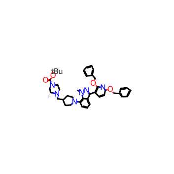 C[C@@H]1CN(C(=O)OC(C)(C)C)CCN1CC1CCN(c2cccc3c(-c4ccc(OCc5ccccc5)nc4OCc4ccccc4)nn(C)c23)CC1